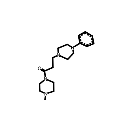 CN1CCN(C(=O)CCN2CCN(c3ccccc3)CC2)CC1